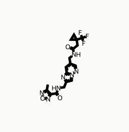 Cc1nonc1C(=O)NCc1cn2ncc(CNC(=O)CC3(C(F)(F)F)CC3)cc2n1